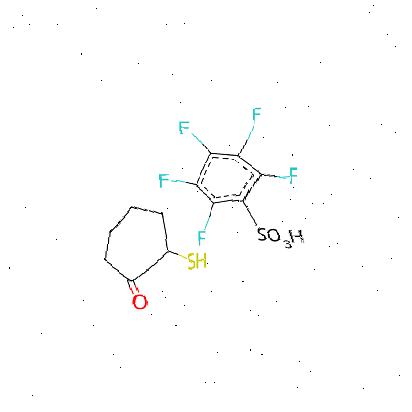 O=C1CCCCC1S.O=S(=O)(O)c1c(F)c(F)c(F)c(F)c1F